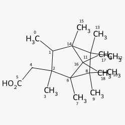 CC1C(C)(CC(=O)O)C2(C)C(C)(C)C(C)(C)C1(C)C2(C)C